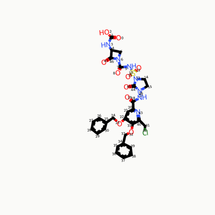 O=C(O)NC1CN(C(=O)NS(=O)(=O)N2CCN(NC(=O)c3cc(OCc4ccccc4)c(OCc4ccccc4)c(CCl)n3)C2=O)C1=O